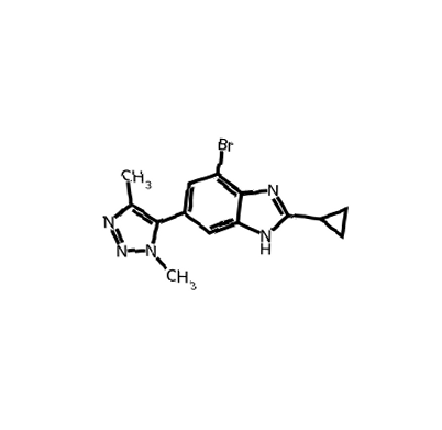 Cc1nnn(C)c1-c1cc(Br)c2nc(C3CC3)[nH]c2c1